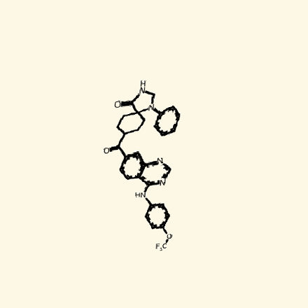 O=C(c1ccc2c(Nc3ccc(OC(F)(F)F)cc3)ncnc2c1)C1CCC2(CC1)C(=O)NCN2c1ccccc1